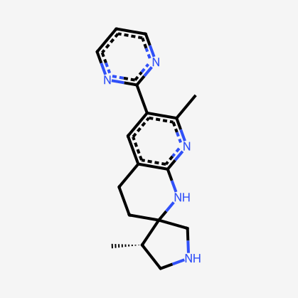 Cc1nc2c(cc1-c1ncccn1)CCC1(CNC[C@@H]1C)N2